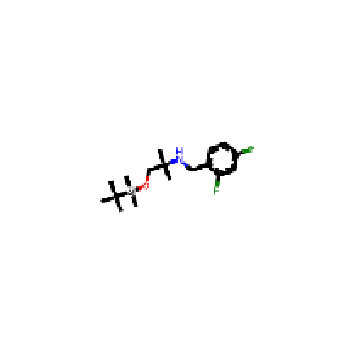 CC(C)(CO[Si](C)(C)C(C)(C)C)NCc1ccc(F)cc1F